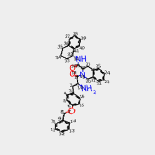 NC(Cc1ccc(OCc2ccccc2)cc1)C(=O)N1Cc2ccccc2CC1C(=O)N[C@@H]1CCCc2ccccc21